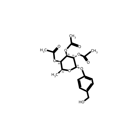 CC(=O)O[C@H]1[C@H](OC(C)=O)[C@H](Oc2ccc(CO)cc2)O[C@@H](C)[C@H]1OC(C)=O